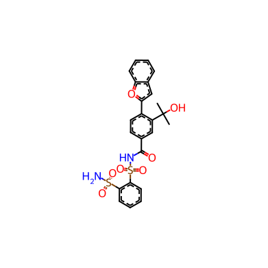 CC(C)(O)c1cc(C(=O)NS(=O)(=O)c2ccccc2S(N)(=O)=O)ccc1-c1cc2ccccc2o1